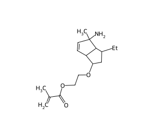 C=C(C)C(=O)OCCOC1CC(CC)C2C1C=CC2(C)N